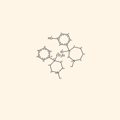 CCC1(c2cccc(O)c2)CCCCN(C)C1.CCOC(=O)C1(c2ccccc2)CCN(C)CC1